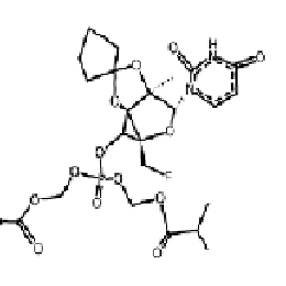 CC(C)C(=O)OCOP(=O)(OCOC(=O)C(C)C)OC1[C@]23OC4(CCCC4)O[C@@]2(C)[C@H](n2ccc(=O)[nH]c2=O)O[C@]13CF